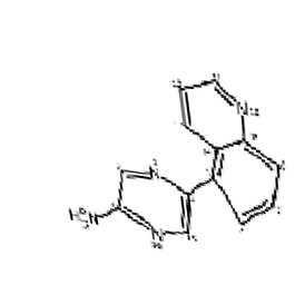 Nc1cnc(-c2cccc3ncccc23)cn1